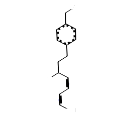 C/C=C\C=C/C(C)CCc1ccc(CC(C)=O)cc1